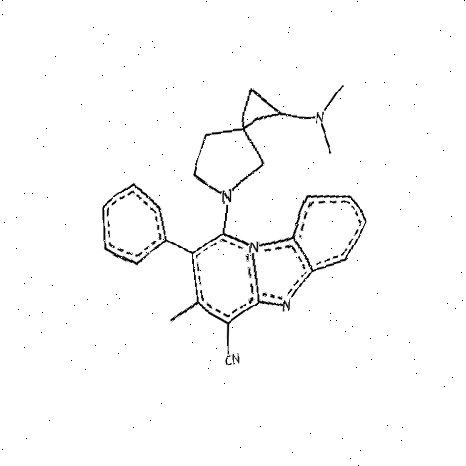 Cc1c(-c2ccccc2)c(N2CCC3(CC3N(C)C)C2)n2c(nc3ccccc32)c1C#N